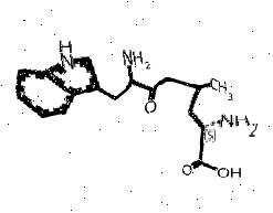 CC(CC(=O)C(N)Cc1c[nH]c2ccccc12)C[C@H](N)C(=O)O